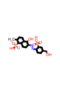 Cc1ccc2c(O)c(N=Nc3ccc(CO)cc3S(=O)(=O)O)ccc2c1S(=O)(=O)O